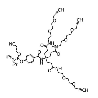 C#CCOCCOCCNC(=O)CCC(CCC(=O)NCCOCCOCC#C)(CCC(=O)NCCOCCOCC#C)NC(=O)c1ccc(OP(OCCC#N)N(C(C)C)C(C)C)cc1